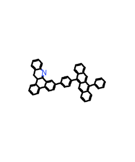 c1ccc(-c2c3ccccc3cc3c(-c4ccc(-c5ccc6c(c5)C5=Nc7ccccc7CC5c5ccccc5-6)cc4)c4ccccc4cc23)cc1